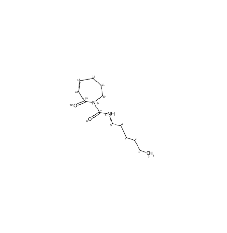 CCCCCCNC(=O)N1CCCCCC1=O